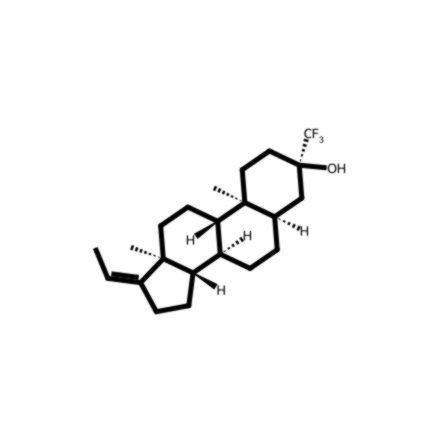 C/C=C1/CC[C@H]2[C@@H]3CC[C@@H]4C[C@@](O)(C(F)(F)F)CC[C@]4(C)[C@H]3CC[C@]12C